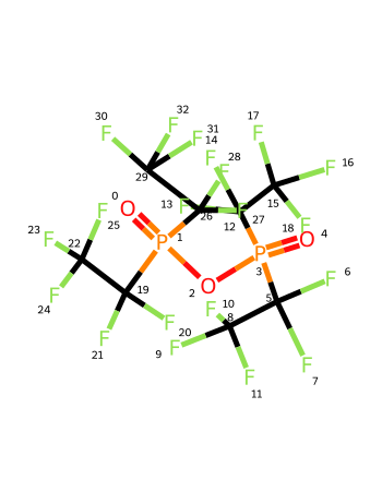 O=P(OP(=O)(C(F)(F)C(F)(F)F)C(F)(F)C(F)(F)F)(C(F)(F)C(F)(F)F)C(F)(F)C(F)(F)F